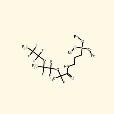 CCO[Si](CCCNC(=O)C(F)(OC(F)(F)C(F)(OC(F)(F)C(F)(F)C(F)(F)F)C(F)(F)F)C(F)(F)F)(OCC)OCC